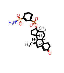 CC1CC2=CC(=O)CC[C@]2(C)[C@@H]2CC[C@]3(C)C(OS(=O)(=O)c4cccc(S(N)(=O)=O)c4)CC[C@H]3[C@H]12